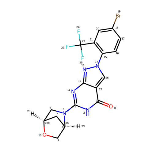 O=c1[nH]c(N2C[C@H]3C[C@@H]2CO3)nc2nn(-c3ccc(Br)cc3C(F)(F)F)cc12